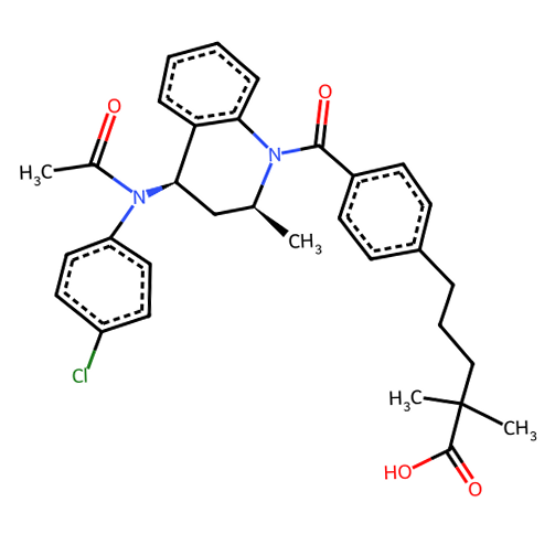 CC(=O)N(c1ccc(Cl)cc1)[C@@H]1C[C@H](C)N(C(=O)c2ccc(CCCC(C)(C)C(=O)O)cc2)c2ccccc21